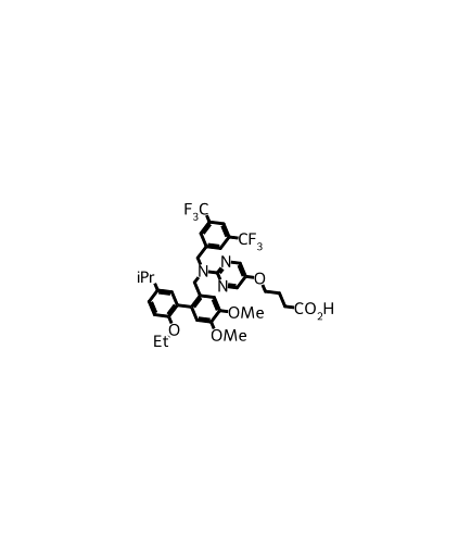 CCOc1ccc(C(C)C)cc1-c1cc(OC)c(OC)cc1CN(Cc1cc(C(F)(F)F)cc(C(F)(F)F)c1)c1ncc(OCCCC(=O)O)cn1